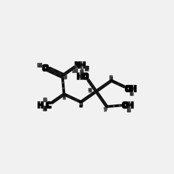 CC(CC(O)(CO)CO)C(N)=O